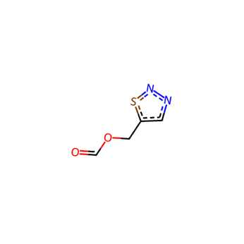 O=COCc1cnns1